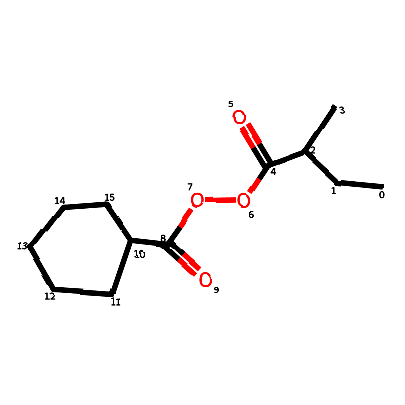 CCC(C)C(=O)OOC(=O)C1CCCCC1